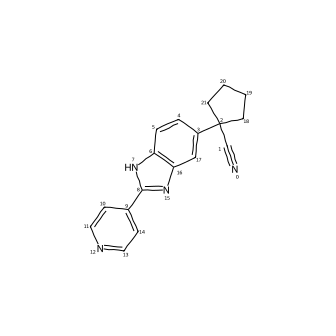 N#CC1(c2ccc3[nH]c(-c4ccncc4)nc3c2)CCCC1